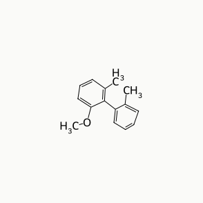 COc1cccc(C)c1-c1ccccc1C